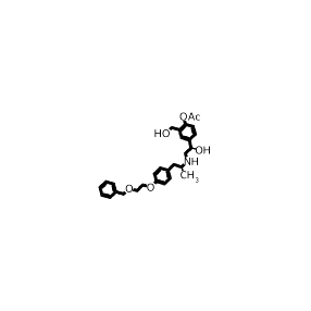 CC(=O)Oc1ccc([C@@H](O)CN[C@@H](C)Cc2ccc(OCCOCc3ccccc3)cc2)cc1CO